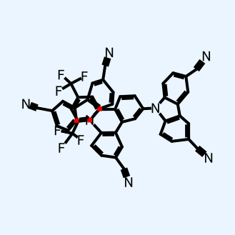 N#Cc1ccc(-n2c3ccc(C#N)cc3c3cc(C#N)ccc32)c(-c2cc(-n3c4ccc(C#N)cc4c4cc(C#N)ccc43)ccc2-c2cc(C(F)(F)F)cc(C(F)(F)F)c2)c1